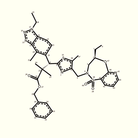 CC[C@@H]1CN(Cc2nc([C@@H](c3ccc4c(nnn4CC)c3C)C(C)(C)C(=O)OCc3ccccc3)sc2C)S(=O)(=O)c2cccnc2O1